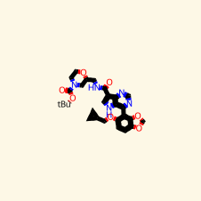 CC(C)(C)OC(=O)N1CCOC(CNC(=O)c2c[nH]c3c(-c4c(OCC5CC5)ccc5c4OCO5)ncnc23)C1